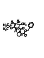 CC(C)[C@H](NC(=O)OC(C)(C)C)C(=O)N1CCC[C@@H]1C(=O)OCc1ccccc1